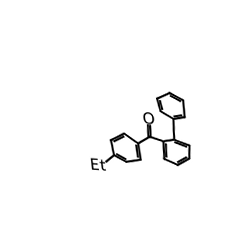 CCc1ccc(C(=O)c2ccccc2-c2ccccc2)cc1